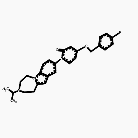 CC(C)N1CCc2cc3cc(-n4ccc(OCc5ccc(F)cc5)cc4=O)ccc3n2CC1